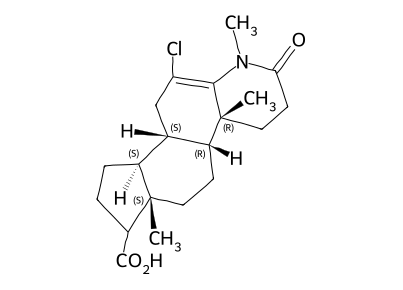 CN1C(=O)CC[C@@]2(C)C1=C(Cl)C[C@@H]1[C@H]2CC[C@]2(C)C(C(=O)O)CC[C@@H]12